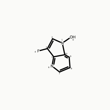 On1cc(F)c2ncccc21